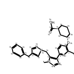 Cc1nc(-c2nnn(C)c2Cn2cc(Cc3ccccc3)cn2)ccc1O[C@H]1CCC[C@H](C(=O)O)C1